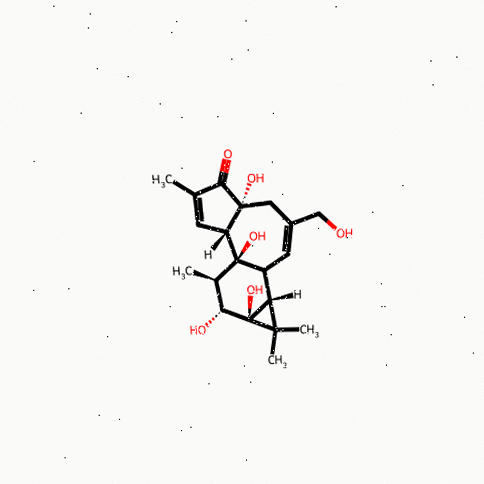 CC1=C[C@H]2[C@]3(O)C(C=C(CO)C[C@]2(O)C1=O)[C@@H]1C(C)(C)[C@]1(O)[C@H](O)[C@H]3C